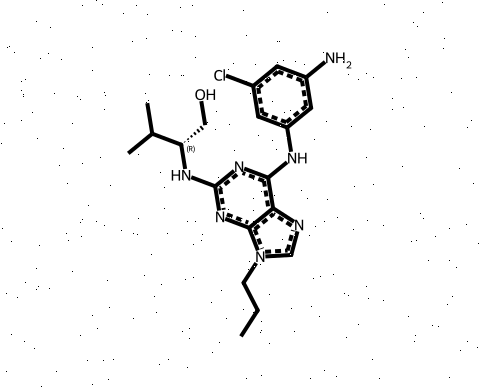 CCCn1cnc2c(Nc3cc(N)cc(Cl)c3)nc(N[C@@H](CO)C(C)C)nc21